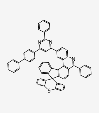 c1ccc(-c2ccc(-c3cc(-c4ccc5nc(-c6ccccc6)c6ccc7c(c6c5c4)-c4ccccc4C74c5ccccc5Sc5ccccc54)nc(-c4ccccc4)n3)cc2)cc1